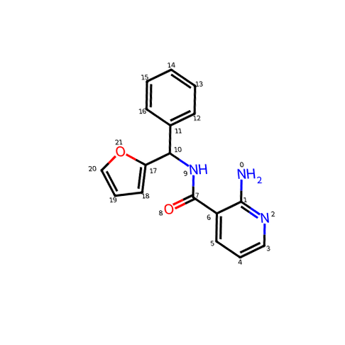 Nc1ncccc1C(=O)NC(c1ccccc1)c1ccco1